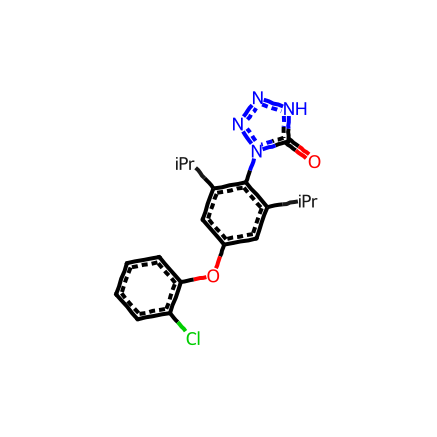 CC(C)c1cc(Oc2ccccc2Cl)cc(C(C)C)c1-n1nn[nH]c1=O